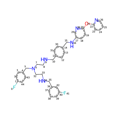 Fc1ccc(CN(CCNCc2ccc(CNc3ccc(Oc4ccccn4)nc3)cc2)CCNCc2cccc(F)c2)cc1